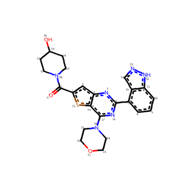 O=C(c1cc2nc(-c3cccc4[nH]ncc34)nc(N3CCOCC3)c2s1)N1CCC(O)CC1